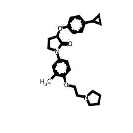 Cc1cc(N2CCC(Oc3ccc(C4CC4)cc3)C2=O)ccc1OCCN1CCCC1